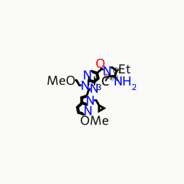 CC[C@@H]1CN(C(=O)c2cnc3c(c2)nc(-c2cc4ccc(OC)nc4n2CC2CC2)n3CCOC)[C@H](C)[C@@H]1N